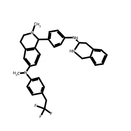 CN(c1ccc(CC(F)(F)F)cc1)c1ccc2c(c1)CCN(C)C2c1ccc(N[C@H]2Cc3ccccc3[CH]N2)cc1